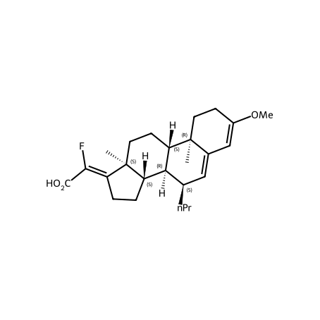 CCC[C@@H]1C=C2C=C(OC)CC[C@]2(C)[C@H]2CC[C@]3(C)C(=C(F)C(=O)O)CC[C@H]3[C@H]12